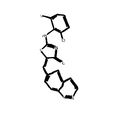 O=C1N=C(Nc2c(Cl)cccc2Cl)SC1=Cc1ccc2nnccc2c1